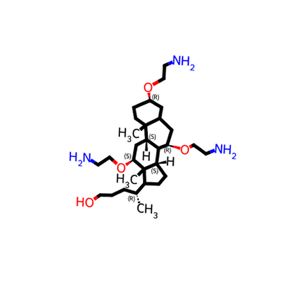 C[C@H](CCCO)C1CC[C@H]2C3[C@H](OCCN)CC4C[C@H](OCCN)CCC4(C)[C@H]3C[C@H](OCCN)C12C